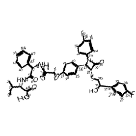 CC(C)[C@H](NC(=O)[C@H](NC(=O)COc1ccc([C@@H]2[C@@H](SCC(O)c3ccc(F)cc3)C(=O)N2c2ccc(F)cc2)cc1)c1ccccc1)C(=O)O